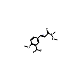 COc1ccc(/C=C/C(=O)N(C)OC)cc1C(F)F